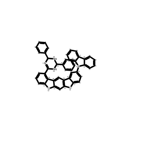 c1ccc(C2N=C(c3cccc4oc5cc6oc7ccc(-n8c9ccccc9c9ccccc98)cc7c6cc5c34)NC(c3ccccc3)N2)cc1